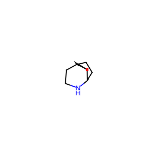 C1CC23CCC(N1)C2CC3